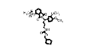 COc1ccc([C@@H](CCCNC(=O)OCc2ccccc2)N2C(=O)c3cccc(OS(C)(=O)=O)c3C2=O)cc1OC